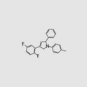 Cc1ccc(N2CC(c3cc(F)ccc3F)=CC2c2ccccc2)cc1